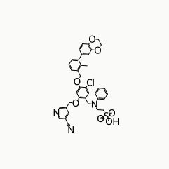 Cc1c(COc2cc(OCc3cncc(C#N)c3)c(CN(CCS(=O)(=O)O)c3ccccc3)cc2Cl)cccc1-c1ccc2c(c1)OCCO2